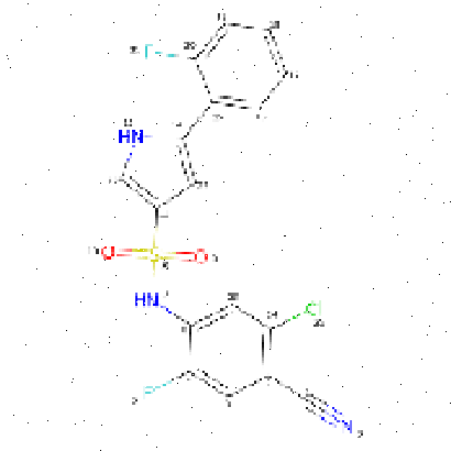 N#Cc1cc(F)c(NS(=O)(=O)c2c[nH]c(-c3ccccc3F)c2)cc1Cl